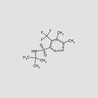 Cc1ccc(S(=O)(=O)NC(C)(C)C)c(C(F)(F)F)c1C